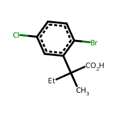 CCC(C)(C(=O)O)c1cc(Cl)ccc1Br